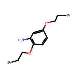 CC(C)CCOc1ccc(OCCC(C)C)c(N)c1